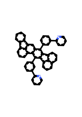 c1ccc(-c2cccc(-c3c4cc5c6ccccc6c6cccc(c4c(-c4cccc(-c7ccccn7)c4)c4c7cccc8cccc(c34)c87)c65)c2)nc1